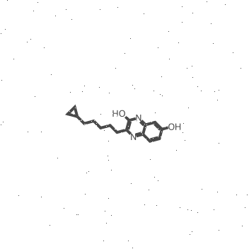 Oc1ccc2nc(CCCCCC3CC3)c(O)nc2c1